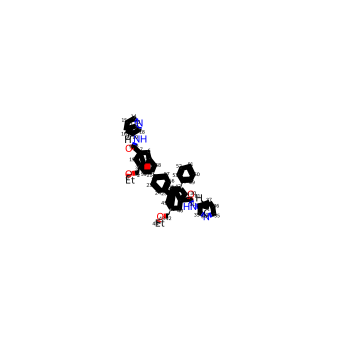 CCOC[C@]12CC3CC(C(=O)N[C@@H]4CN5CCC4CC5)(C1)C[C@@](c1ccc(C45CC6(C(=O)N[C@@H]7CN8CCC7CC8)C[C@@](COCC)(C4)C[C@](c4ccccc4)(C6)C5)cc1)(C3)C2